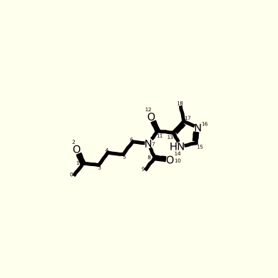 CC(=O)CCCCN(C(C)=O)C(=O)c1[nH]cnc1C